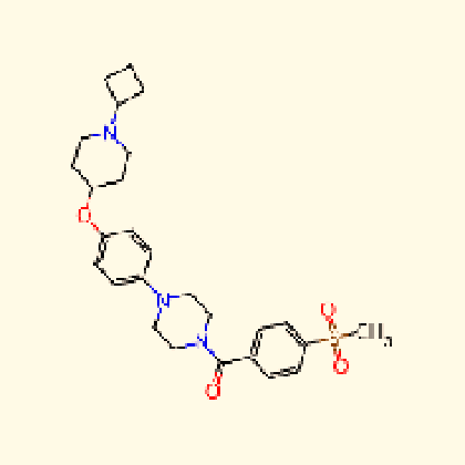 CS(=O)(=O)c1ccc(C(=O)N2CCN(c3ccc(OC4CCN(C5CCC5)CC4)cc3)CC2)cc1